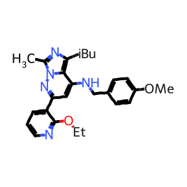 CCOc1ncccc1-c1cc(NCc2ccc(OC)cc2)c2c(C(C)CC)nc(C)n2n1